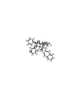 C=CC(c1ccc2ccccc2c1)S(=O)(=O)C(Cc1ccncc1)(C(N)=O)C(=O)Nc1ccccc1